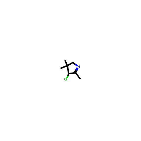 CC1=NCC(C)(C)C1Cl